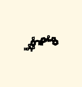 CC(Oc1ccc(Cl)c(Cn2nnc3cc(C(=O)NC4CCc5ccccc54)ccc32)c1)C(=O)O